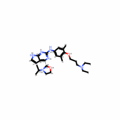 CCN(CC)CCCOc1c(C)cc(Nc2nc([C@@H]3OCCN3C(C)C)c3cc[nH]c3n2)cc1C